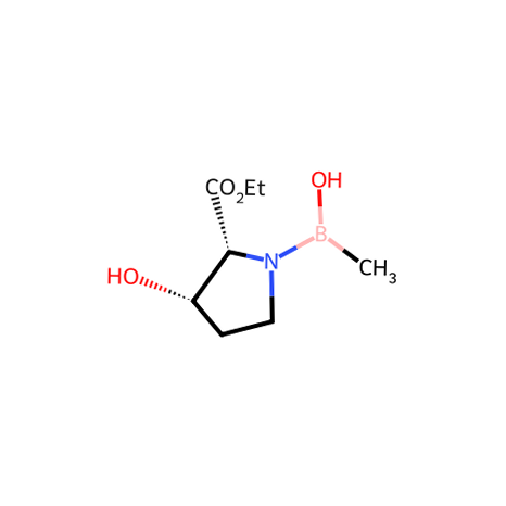 CCOC(=O)[C@H]1[C@@H](O)CCN1B(C)O